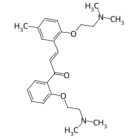 Cc1ccc(OCCN(C)C)c(C=CC(=O)c2ccccc2OCCN(C)C)c1